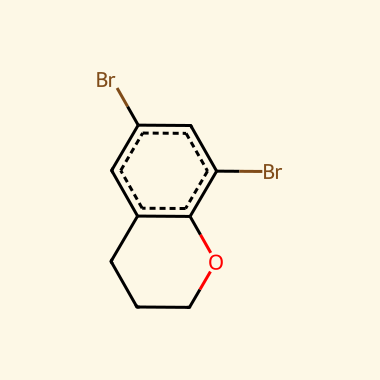 Brc1cc(Br)c2c(c1)CCCO2